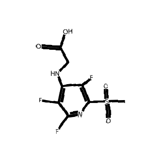 CS(=O)(=O)c1nc(F)c(F)c(NCC(=O)O)c1F